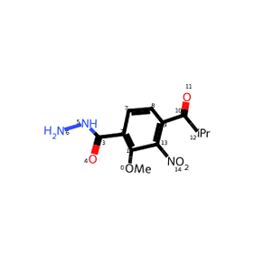 COc1c(C(=O)NN)ccc(C(=O)C(C)C)c1[N+](=O)[O-]